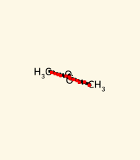 CCCCCCCCCCCC=CC(=O)C([C]=O)CCCCCCCCCCCCC